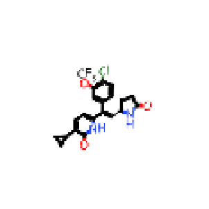 O=C1CC[C@H](/C=C(\c2ccc(Cl)c(OC(F)(F)F)c2)c2ccc(C3CC3)c(=O)[nH]2)N1